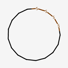 C1CCCCCCSSSSCCCCCC1